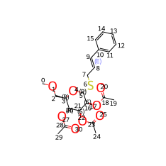 COC[C@H]1O[C@H](SC/C=C/c2ccccc2)[C@@H](OC(C)=O)[C@@H](OC(C)=O)[C@@H]1OC(C)=O